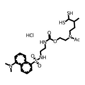 CC(=O)N(CCOC(=O)NCCNS(=O)(=O)c1cccc2c(N(C)C)cccc12)CCC(C)C(S)S.Cl